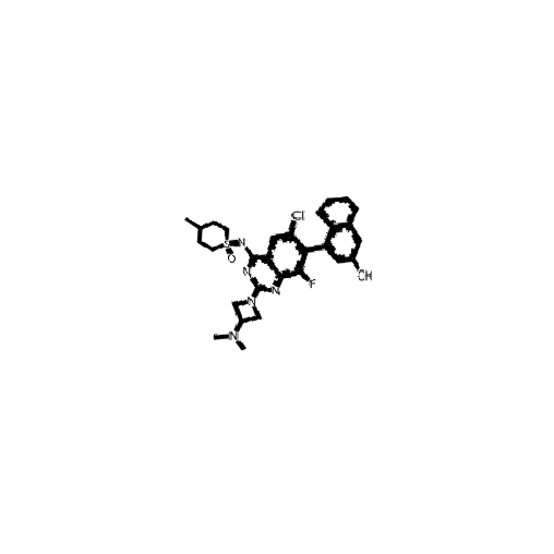 CC1CCS(=O)(=Nc2nc(N3CC(N(C)C)C3)nc3c(F)c(-c4cc(O)cc5ccccc45)c(Cl)cc23)CC1